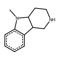 CN1c2ccccc2C2CNCCC21